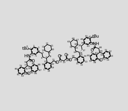 CC(C)(C)c1ccc(CC[C@@H](CC2CCCCC2)c2ccccc2COC(=O)CC(=O)OCc2ccccc2[C@@H](CCc2ccc(C(C)(C)C)c(NC(=O)CC3c4ccccc4Oc4ccccc43)c2)CC2CCCCC2)cc1NC(=O)CC1c2ccccc2Oc2ccccc21